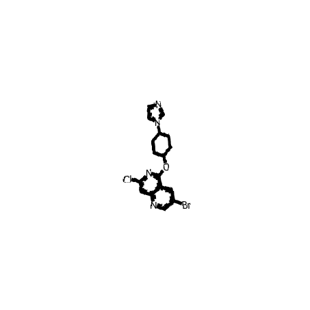 Clc1cc2ncc(Br)cc2c(OC2CCC(n3ccnc3)CC2)n1